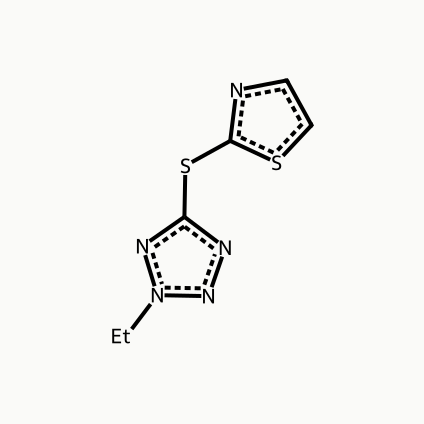 CCn1nnc(Sc2nccs2)n1